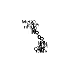 CCCN(Cc1nc2ccc(-c3ccc4cc(-c5cnc([C@@H]6[C@H]7CC[C@H](C7)N6C(=O)[C@H](C)NC(=O)OC)[nH]5)ccc4c3)cc2[nH]1)C(=O)[C@@H](NC(=O)OC)C(C)C